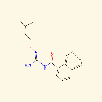 CC(C)CCON=C(N)NC(=O)c1cccc2ccccc12